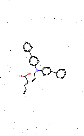 C=C/C=C(\C=C/CN(c1ccc(-c2ccccc2)cc1)c1ccc(-c2ccccc2)cc1)B(O)O